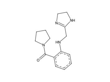 O=C(c1ccccc1NCC1=NCCN1)N1CCCC1